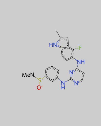 CN[S+]([O-])c1cccc(Nc2nccc(Nc3ccc4[nH]c(C)cc4c3F)n2)c1